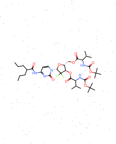 CCCC(CCC)C(=O)Nc1ccn([C@@H]2O[C@H](COC(=O)[C@H](NC(=O)OC(C)(C)C)C(C)C)[C@@H](OC(=O)[C@@H](NC(=O)OC(C)(C)C)C(C)C)C2(F)F)c(=O)n1